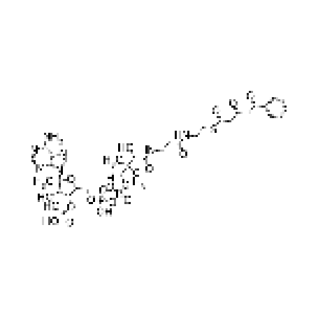 CC(C)(COP(=O)(O)OP(=O)(O)OCC1OC(C)(n2cnc3c(N)ncnc32)C(O)C1OP(=O)(O)O)C(O)C(=O)NCCC(=O)NCCSC(=O)CC(=O)CC(=O)c1ccccc1